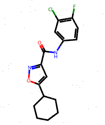 O=C(Nc1ccc(F)c(Cl)c1)c1cc(C2CCCCC2)on1